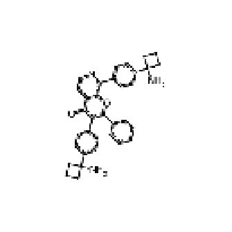 NC1(c2ccc(-c3c(-c4ccccc4)oc4c(-c5ccc(C6(N)CCC6)cc5)nccc4c3=O)cc2)CCC1